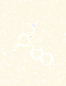 CN(C)C[C@H]1CCC(=O)C[C@]1(O)c1ccc2ccccc2c1